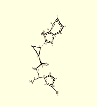 CC(NC(=O)[C@H]1C[C@@H]1c1nc2ccccc2[nH]1)c1ccc(Br)s1